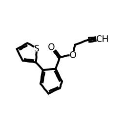 C#CCOC(=O)c1ccccc1-c1cccs1